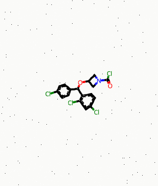 O=C(Cl)N1CC(OC(c2ccc(Cl)cc2)c2ccc(Cl)cc2Cl)C1